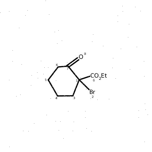 CCOC(=O)C1(Br)CCCCC1=O